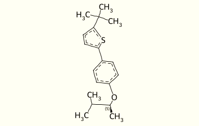 CC(C)[C@H](C)Oc1ccc(-c2ccc(C(C)(C)C)s2)cc1